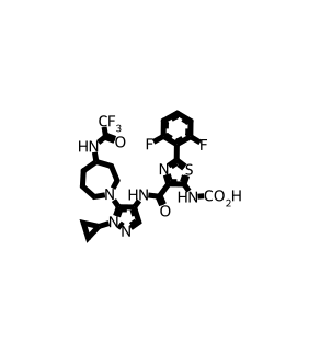 O=C(O)Nc1sc(-c2c(F)cccc2F)nc1C(=O)Nc1cnn(C2CC2)c1N1CCCC(NC(=O)C(F)(F)F)CC1